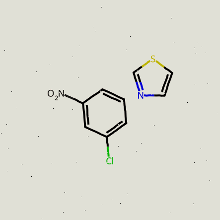 O=[N+]([O-])c1cccc(Cl)c1.c1cscn1